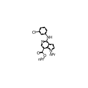 CCCOC(=O)c1cnc(Nc2cccc(Cl)c2)c2ccn(CCC)c12